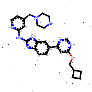 c1cc(CN2CCNCC2)cc(Nc2nc3ccc(-c4cc(OCC5CCC5)ncn4)cc3[nH]2)n1